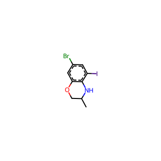 CC1COc2cc(Br)cc(I)c2N1